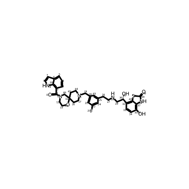 O=C(c1cccc2cc[nH]c12)N1CCOC2(CCN(Cc3cc(F)cc(CCNC[C@H](O)c4ccc(O)c5[nH]c(=O)sc45)c3)CC2)C1